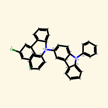 Clc1cc(Cl)cc(-c2ccccc2N(c2ccccc2)c2ccc3c(c2)c2ccccc2n3-c2ccccc2)c1